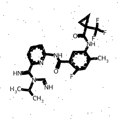 Cc1cc(F)c(C(=O)Nc2cccc(C(=N)N(C=N)C(C)C)n2)cc1NC(=O)C1(C(F)(F)F)CC1